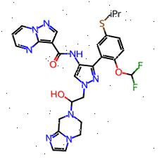 CC(C)Sc1ccc(OC(F)F)c(-c2nn(CC(O)N3CCn4ccnc4C3)cc2NC(=O)c2cnn3cccnc23)c1